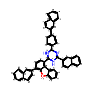 c1ccc2cc(C3=NC(c4ccc(-c5ccc6ccccc6c5)cc4)NC(c4ccc(-c5ccc6ccccc6c5)c5oc6ccccc6c45)N3)ccc2c1